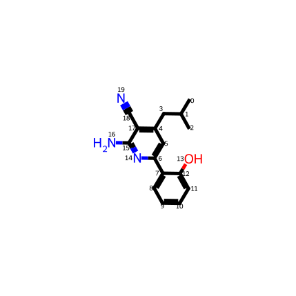 CC(C)Cc1cc(-c2ccccc2O)nc(N)c1C#N